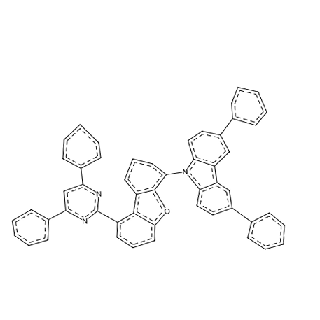 c1ccc(-c2ccc3c(c2)c2cc(-c4ccccc4)ccc2n3-c2cccc3c2oc2cccc(-c4nc(-c5ccccc5)cc(-c5ccccc5)n4)c23)cc1